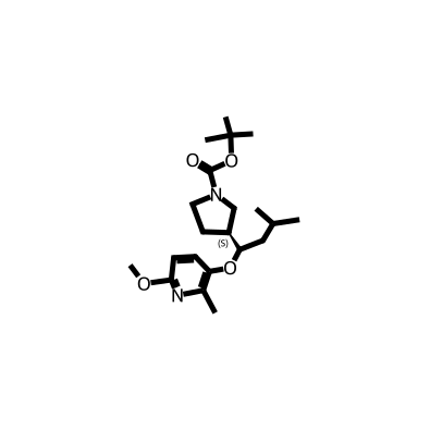 COc1ccc(OC(CC(C)C)[C@H]2CCN(C(=O)OC(C)(C)C)C2)c(C)n1